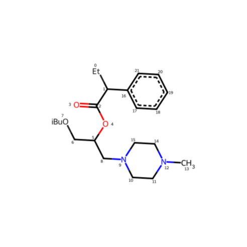 CCC(C(=O)OC(COCC(C)C)CN1CCN(C)CC1)c1ccccc1